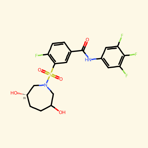 O=C(Nc1cc(F)c(F)c(F)c1)c1ccc(F)c(S(=O)(=O)N2CC(O)CC[C@H](O)C2)c1